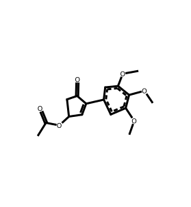 COc1cc(C2=CC(OC(C)=O)CC2=O)cc(OC)c1OC